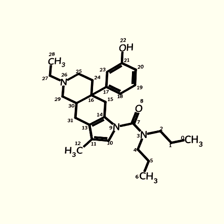 CCCN(CCC)C(=O)n1cc(C)c2c1CC1(c3cccc(O)c3)CCN(CC)CC1C2